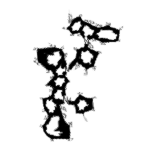 c1ccc(-n2c3cc4c(cc3c3ccc5ccccc5c32)c2ccccc2n4-c2cccc(-n3c4ccccc4c4ccccc43)c2)cc1